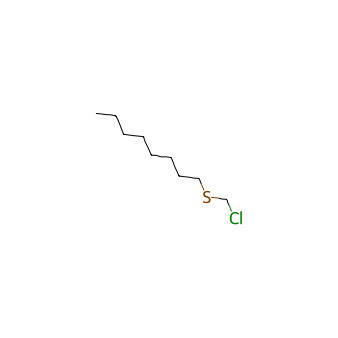 CCCCCCCCSCCl